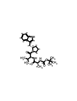 CC(C)[C@H](NC(=O)[C@H](C)NC(=O)OC(C)(C)C)C(=O)N1CCC[C@H]1Cc1c[nH]c2ccccc12